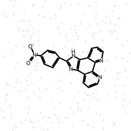 O=[N+]([O-])c1ccc(-c2nc3c4cccnc4c4ncccc4c3[nH]2)cc1